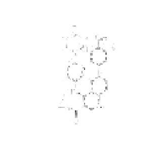 O=C(c1cnc2ccc(-c3cc(Cl)c(O)c(Cl)c3)cc2c1Nc1ccc(N2CCNCC2)nc1)C1CC1